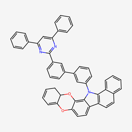 C1=CCC2Oc3c(ccc4c5ccc6ccccc6c5n(-c5cccc(-c6cccc(-c7nc(-c8ccccc8)cc(-c8ccccc8)n7)c6)c5)c34)OC2=C1